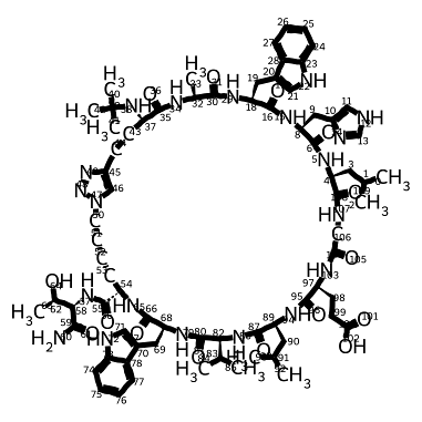 CC(C)C[C@@H]1NC(=O)[C@H](Cc2c[nH]cn2)NC(=O)[C@H](Cc2c[nH]c3ccccc23)NC(=O)[C@H](C)NC(=O)[C@@H](NC(C)(C)C)CCc2cn(nn2)CCCC[C@@H](C(=O)N[C@H](C(N)=O)[C@@H](C)O)NC(=O)[C@H](Cc2c[nH]c3ccccc23)NC(=O)[C@H](C(C)C)NC(=O)[C@H](CC(C)C)NC(=O)[C@H](CCC(=O)O)NC(=O)CNC1=O